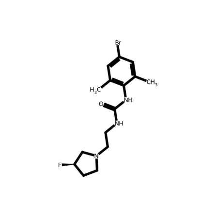 Cc1cc(Br)cc(C)c1NC(=O)NCCN1CC[C@@H](F)C1